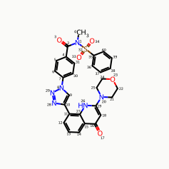 CN(C(=O)c1ccc(-n2cc(-c3cccc4c(=O)cc(N5CCOCC5)[nH]c34)nn2)cc1)S(=O)(=O)c1ccccc1